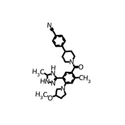 COC1CCN(c2cc(C)c(C(=O)N3CCC(c4ccc(C#N)cc4)CC3)cc2C2=NNC(C)N2)C1